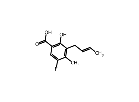 CC=CCc1c(C)c(F)cc(C(=O)O)c1O